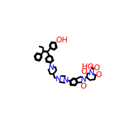 CCC(=C(c1ccc(O)cc1)c1ccc(N2CCC(CN3CCN(c4ccc5c(c4)CN([C@H]4CCC(=O)N(C(=O)O)C4=O)C5=O)CC3)CC2)cc1)c1ccccc1